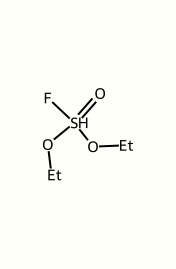 CCO[SH](=O)(F)OCC